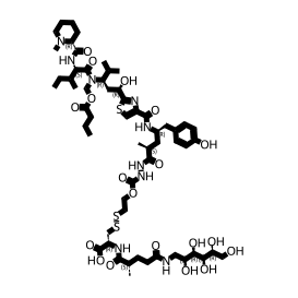 CCCC(=O)OCN(C(=O)[C@@H](NC(=O)[C@H]1CCCCN1C)C(C)CC)[C@H](C[C@@H](O)c1nc(C(=O)N[C@@H](Cc2ccc(O)cc2)C[C@H](C)C(=O)NNC(=O)OCCSSC[C@H](NC(=O)[C@@H](C)CCC(=O)NC[C@H](O)[C@@H](O)[C@H](O)[C@H](O)CO)C(=O)O)cs1)C(C)C